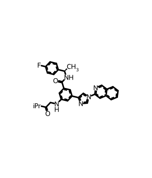 CC(C)C(=O)CNc1cc(C(=O)N[C@H](C)c2ccc(F)cc2)cc(-c2cn(-c3cc4ccccc4cn3)cn2)c1